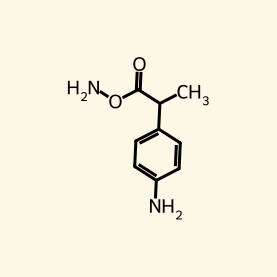 CC(C(=O)ON)c1ccc(N)cc1